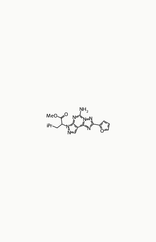 COC(=O)C(CC(C)C)n1ncc2c1nc(N)n1nc(-c3ccco3)nc21